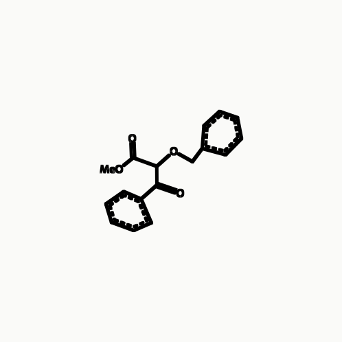 COC(=O)C(OCc1ccccc1)C(=O)c1ccccc1